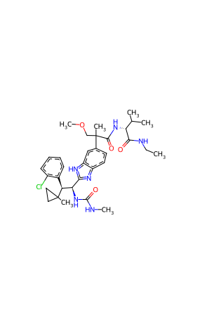 CCNC(=O)[C@H](NC(=O)C(C)(COC)c1ccc2nc([C@@H](NC(=O)NC)[C@H](c3ccccc3Cl)C3(C)CC3)[nH]c2c1)C(C)C